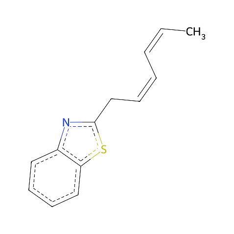 C/C=C\C=C/Cc1nc2ccccc2s1